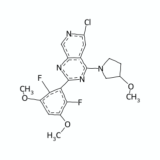 COc1cc(OC)c(F)c(-c2nc(N3CCC(OC)C3)c3cc(Cl)ncc3n2)c1F